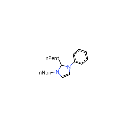 CCCCCCCCCN1C=CN(c2ccccc2)C1CCCCC